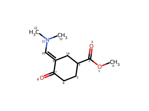 COC(=O)C1CCC(=O)C(=CN(C)C)C1